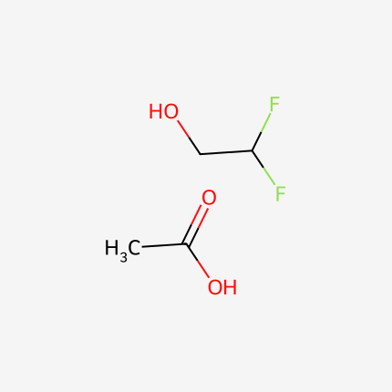 CC(=O)O.OCC(F)F